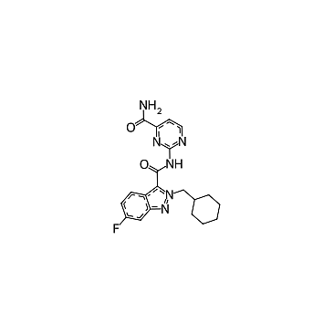 NC(=O)c1ccnc(NC(=O)c2c3ccc(F)cc3nn2CC2CCCCC2)n1